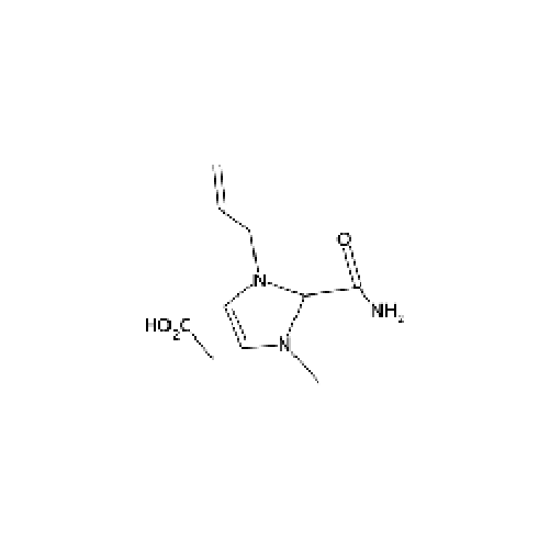 C=CCN1C=CN(C)C1C(N)=O.CC(=O)O